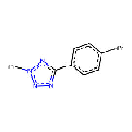 CC(C)c1ccc(-c2nnn(C(C)C)n2)cc1